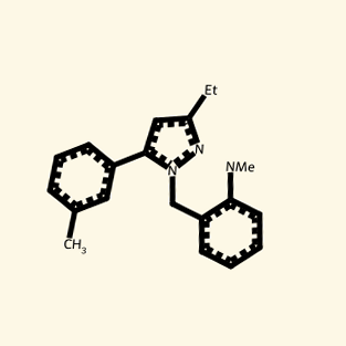 CCc1cc(-c2cccc(C)c2)n(Cc2ccccc2NC)n1